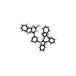 Clc1nc(-c2cccc(-n3c4ccccc4c4c5ccccc5c5c6ccccc6sc5c43)c2)c2sc3ccccc3c2n1